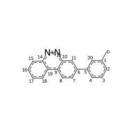 Cc1cccc(-c2ccc3c(c2)nnc2ccccc23)c1